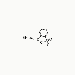 CCC#COc1ccccc1S(=O)(=O)Cl